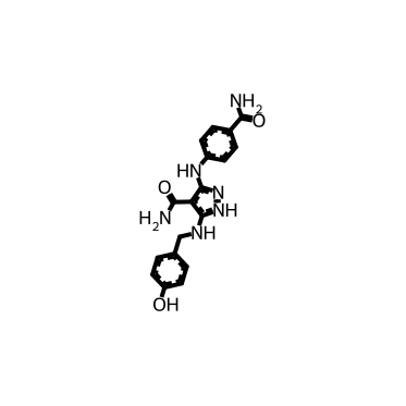 NC(=O)c1ccc(Nc2n[nH]c(NCc3ccc(O)cc3)c2C(N)=O)cc1